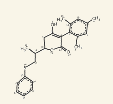 Cc1cc(C)c(C2=C(O)CC(C(C)CSc3ccccc3)OC2=O)c(C)c1